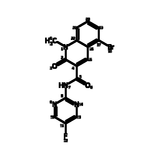 Cn1c(=O)c(C(=O)Nc2ncc(F)cn2)cc2c(Br)cccc21